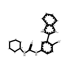 O=C(Nc1ccc(Cl)c(-c2nc3ccccc3[nH]2)c1)NC1CCCCC1